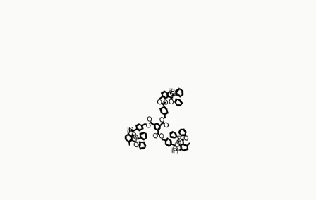 Cc1ccc(C(C)C)c(C(=O)P(=O)(c2ccccc2)c2ccccc2)c1OC(=O)c1ccc(COC(=O)c2cc(C(=O)OCc3ccc(C(=O)Oc4c(C(C)C)ccc(C)c4C(=O)P(=O)(c4ccccc4)c4ccccc4)cc3)cc(C(=O)OCc3ccc(C(=O)Oc4c(C(C)C)ccc(C)c4C(=O)P(=O)(c4ccccc4)c4ccccc4)cc3)c2)cc1